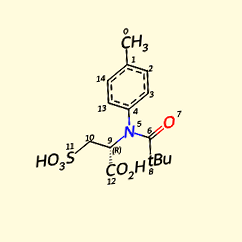 Cc1ccc(N(C(=O)C(C)(C)C)[C@@H](CS(=O)(=O)O)C(=O)O)cc1